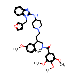 COc1cccc(C(CCN2CCC(Nc3nc4ccccc4n3Cc3ccoc3)CC2)CN(C)C(=O)c2cc(OC)c(OC)c(OC)c2)c1